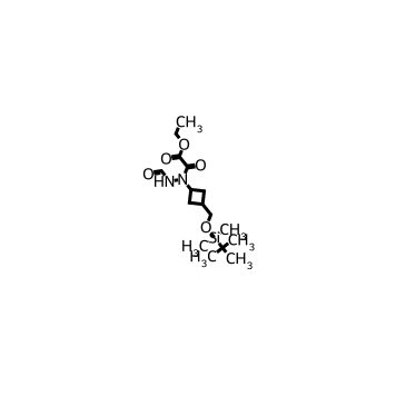 CCOC(=O)C(=O)N(NC=O)C1CC(CO[Si](C)(C)C(C)(C)C)C1